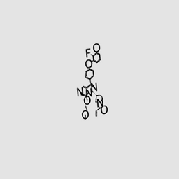 C=CC(=O)N1CC[C@@H](c2nc(-c3ccc(Oc4cccc(OC)c4F)cc3)c3cncc(OCCOC)n23)C1